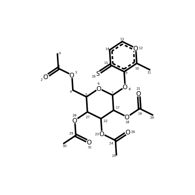 CC(=O)OCC1OC(Oc2c(C)occc2=S)C(OC(C)=O)C(OC(C)=O)C1OC(C)=O